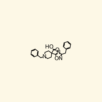 O=C(O)C1(c2nc(Cc3ccccc3)no2)CCN(Cc2ccccc2)CC1